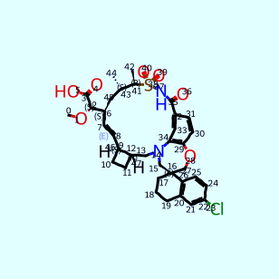 CO[C@H](C(=O)O)[C@@H]1/C=C/[C@@H]2CC[C@H]2CN2C[C@@]3(CCCc4cc(Cl)ccc43)COc3ccc(cc32)C(=O)NS(=O)(=O)[C@H](C)[C@@H](C)C1